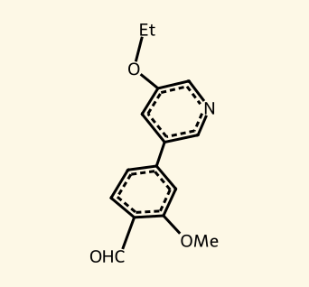 CCOc1cncc(-c2ccc(C=O)c(OC)c2)c1